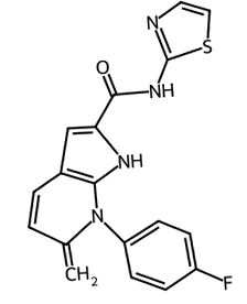 C=C1C=Cc2cc(C(=O)Nc3nccs3)[nH]c2N1c1ccc(F)cc1